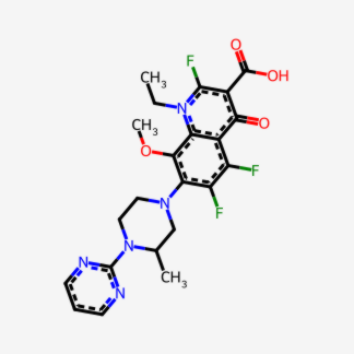 CCn1c(F)c(C(=O)O)c(=O)c2c(F)c(F)c(N3CCN(c4ncccn4)C(C)C3)c(OC)c21